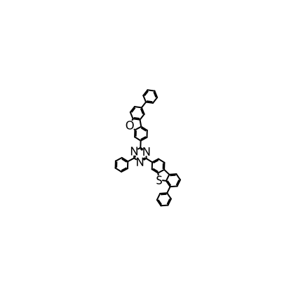 c1ccc(-c2ccc3oc4cc(-c5nc(-c6ccccc6)nc(-c6ccc7c(c6)sc6c(-c8ccccc8)cccc67)n5)ccc4c3c2)cc1